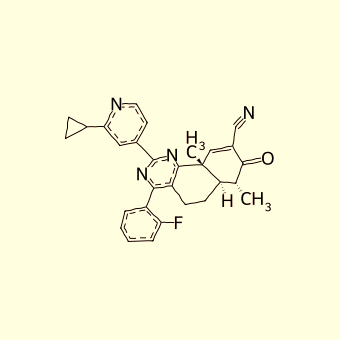 C[C@H]1C(=O)C(C#N)=C[C@@]2(C)c3nc(-c4ccnc(C5CC5)c4)nc(-c4ccccc4F)c3CC[C@H]12